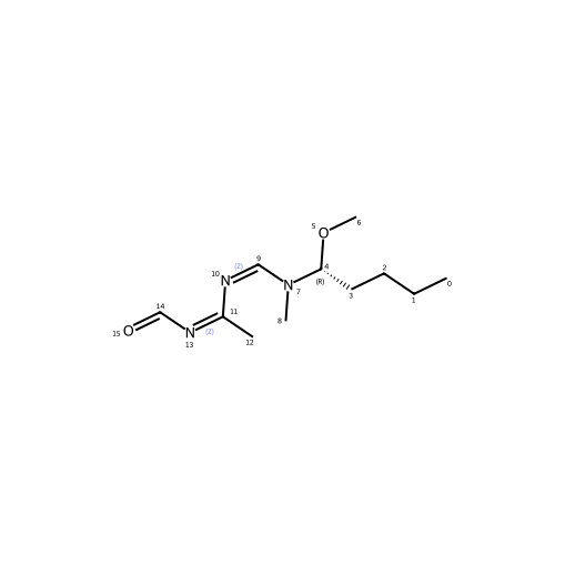 CCCC[C@@H](OC)N(C)/C=N\C(C)=N/C=O